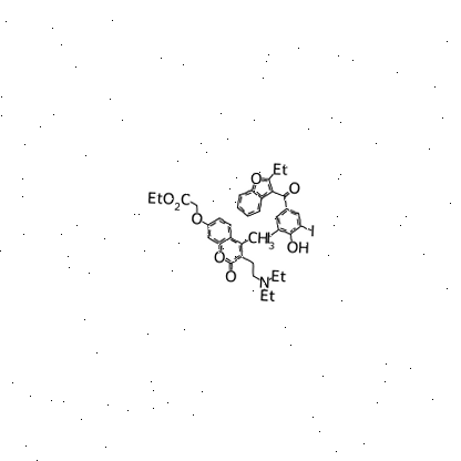 CCOC(=O)COc1ccc2c(C)c(CCN(CC)CC)c(=O)oc2c1.CCc1oc2ccccc2c1C(=O)c1cc(I)c(O)c(I)c1